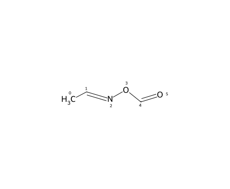 CC=NOC=O